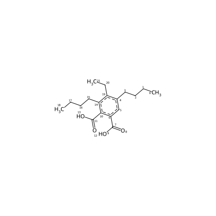 CCCCc1cc(C(=O)O)c(C(=O)O)c(CCCC)c1CC